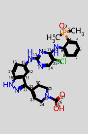 CP(C)(=O)c1ccccc1Nc1nc(Nc2ccc3[nH]nc(C4=CCN(C(=O)O)CC4)c3c2)ncc1Cl